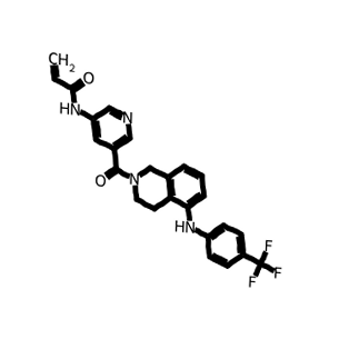 C=CC(=O)Nc1cncc(C(=O)N2CCc3c(cccc3Nc3ccc(C(F)(F)F)cc3)C2)c1